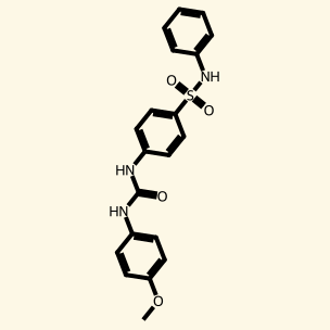 COc1ccc(NC(=O)Nc2ccc(S(=O)(=O)Nc3ccccc3)cc2)cc1